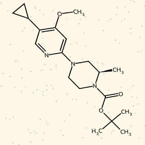 COc1cc(N2CCN(C(=O)OC(C)(C)C)[C@H](C)C2)ncc1C1CC1